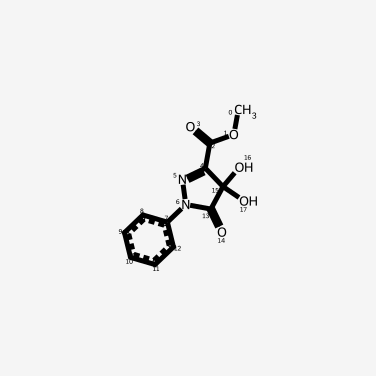 COC(=O)C1=NN(c2ccccc2)C(=O)C1(O)O